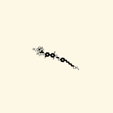 CCCCCCCCc1ccc(OCCOc2c(F)cc(-c3ccc(OCC4(C)COC(C)(C)OC4)c(I)c3)cc2F)cc1